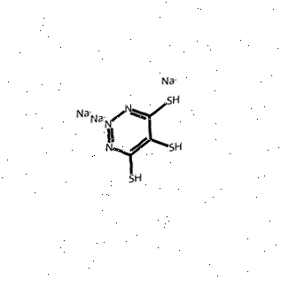 Sc1nnnc(S)c1S.[Na].[Na].[Na]